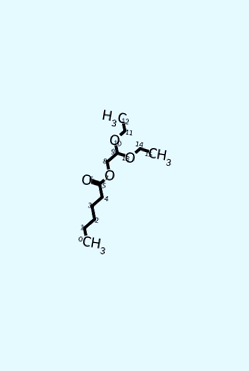 CCCCCC(=O)OCC(OCC)OCC